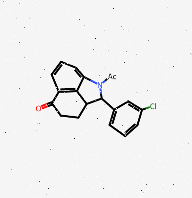 CC(=O)N1c2cccc3c2C(CCC3=O)C1c1cccc(Cl)c1